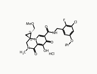 COC[C@H]1C[C@@]12CN(C)C(=O)c1c(O)c(=O)c(C(=O)NCc3cc(OC(C)C)cc(Cl)c3F)cn12.Cl